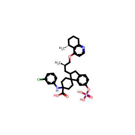 C[C@@H](COc1ccnc2c1[C@H](C)CCC2)CC1Cc2ccc(OP(=O)(O)O)cc2C12CCC(Nc1cccc(Cl)c1)(C(=O)O)CC2